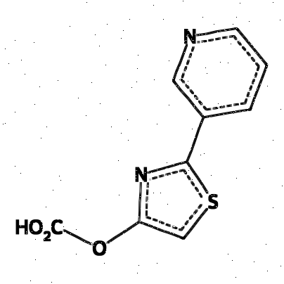 O=C(O)Oc1csc(-c2cccnc2)n1